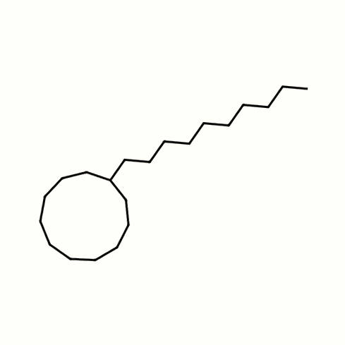 CCCCCCCCCCC1CCCCCCCCCC1